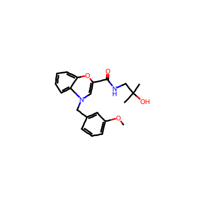 COc1cccc(CN2C=C(C(=O)NCC(C)(C)O)Oc3ccccc32)c1